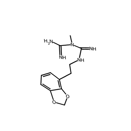 CN(C(=N)N)C(=N)NCCc1cccc2c1OCO2